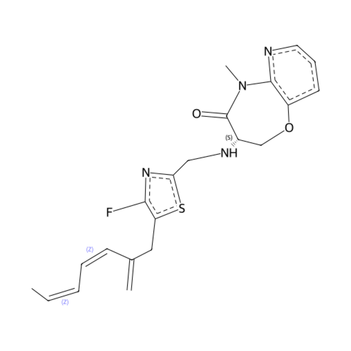 C=C(/C=C\C=C/C)Cc1sc(CN[C@H]2COc3cccnc3N(C)C2=O)nc1F